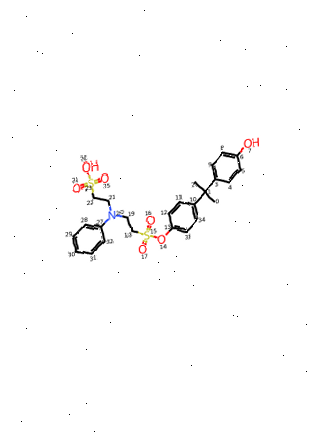 CC(C)(c1ccc(O)cc1)c1ccc(OS(=O)(=O)CCN(CCS(=O)(=O)O)c2ccccc2)cc1